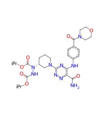 CC(C)OC(=O)NN(C(=O)OC(C)C)[C@@H]1CCCN(c2nnc(C(N)=O)c(Nc3ccc(C(=O)N4CCOCC4)cc3)n2)C1